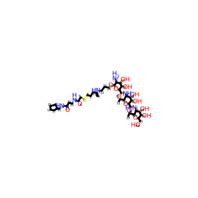 C=C(CCCSCC(=O)NCCC(=O)NCC1CCCC1)NCCCOC1OC(COC(C)C2OC(COC(C)C3OC(CO)C(O)C(O)C3N)C(O)C(O)C2N)C(O)C(O)C1N